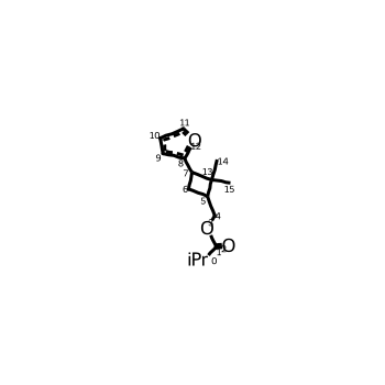 CC(C)C(=O)OCC1CC(c2ccco2)C1(C)C